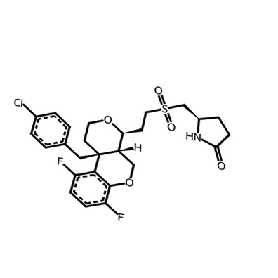 O=C1CC[C@H](CS(=O)(=O)CC[C@@H]2OCC[C@@]3(Cc4ccc(Cl)cc4)c4c(F)ccc(F)c4OC[C@@H]23)N1